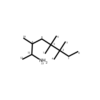 CCC(C)(C)C(C)(C)CC(C)C(C)N